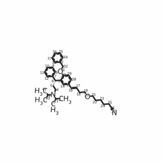 CC(C)N(CC[C@H](c1ccccc1)c1cc(/C=C/CCOCCCCCC#N)ccc1OCc1ccccc1)C(C)C